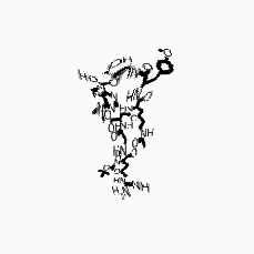 COc1ccc(CC(NC(=O)C(CCCCNC(C)=O)NC(=O)CC(NC(=O)CNC(=O)C(CCCNC(=N)N)NC(=O)OC(C)(C)C)C(=O)O)C(=O)N[C@@H](C)[C@@H](CO)O[C@H](O)n2cnc3c(N(C)C)ncnc32)cc1